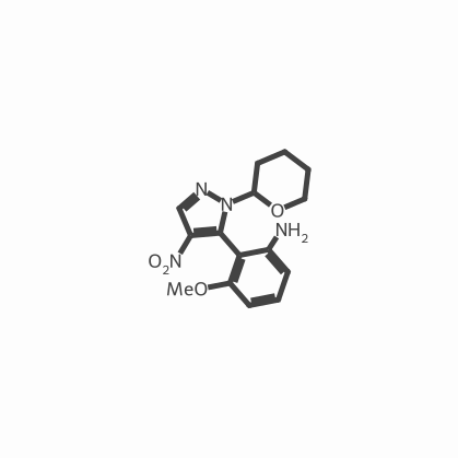 COc1cccc(N)c1-c1c([N+](=O)[O-])cnn1C1CCCCO1